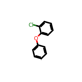 Clc1ccccc1Oc1cc[c]cc1